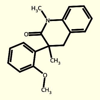 COc1ccccc1C1(C)Cc2ccccc2N(C)C1=O